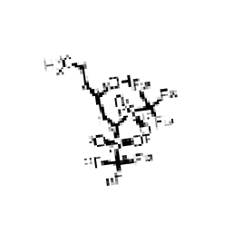 CCCC(O)CC(S(=O)(=O)C(F)(F)F)S(=O)(=O)C(F)(F)F